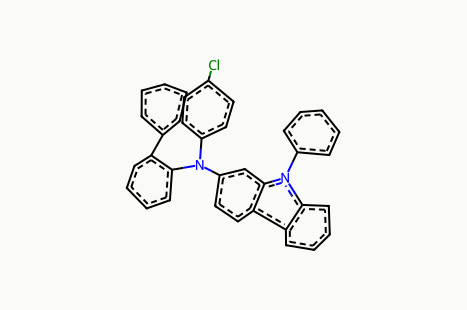 Clc1ccc(N(c2ccc3c4ccccc4n(-c4ccccc4)c3c2)c2ccccc2-c2ccccc2)cc1